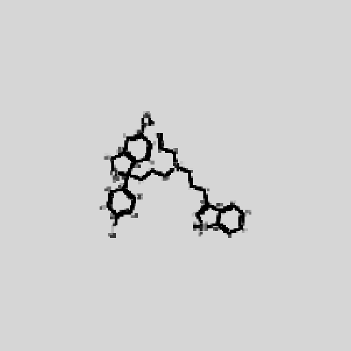 C=CCN(CCCc1c[nH]c2ccccc12)CCCC1(c2ccc(F)cc2)OCc2cc(C#N)ccc21